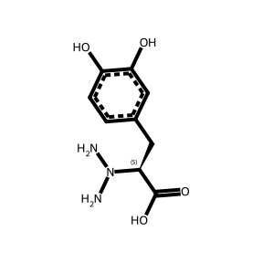 NN(N)[C@@H](Cc1ccc(O)c(O)c1)C(=O)O